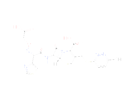 Cc1ccc(SCC2=C(C(=O)O)N3C(=O)C(NC(=O)/C(=N\OCC(=O)O)c4cscn4)[C@H]3SC2)nn1